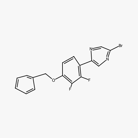 Fc1c(OCc2ccccc2)ccc(-c2cnc(Br)cn2)c1F